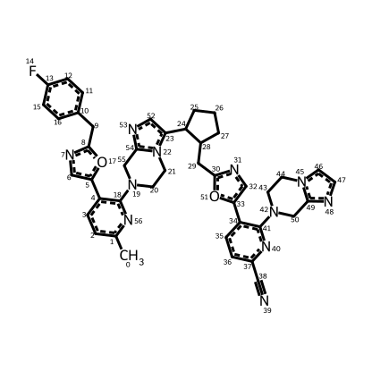 Cc1ccc(-c2cnc(Cc3ccc(F)cc3)o2)c(N2CCn3c(C4CCCC4Cc4ncc(-c5ccc(C#N)nc5N5CCn6ccnc6C5)o4)cnc3C2)n1